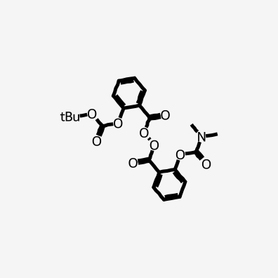 CN(C)C(=O)Oc1ccccc1C(=O)OOC(=O)c1ccccc1OC(=O)OC(C)(C)C